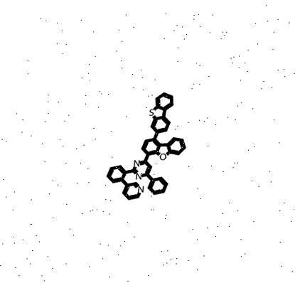 c1ccc(-c2cc(-c3ccc(-c4ccc5c(c4)sc4ccccc45)c4c3oc3ccccc34)nc(-c3ccccc3-c3cccnc3)n2)cc1